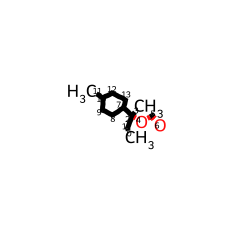 CCC(C)(OC=O)C1CCC(C)CC1